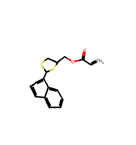 C=CC(=O)OCC1CSC(c2cccc3ccccc23)S1